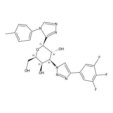 Cc1ccc(-n2cnnc2[C@@H]2O[C@H](CO)[C@H](O)[C@H](n3cc(-c4cc(F)c(F)c(F)c4)nn3)[C@H]2O)cc1